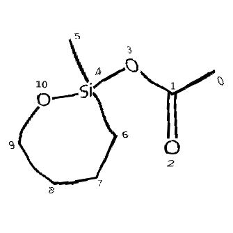 CC(=O)O[Si]1(C)CCCCO1